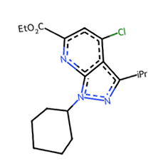 CCOC(=O)c1cc(Cl)c2c(C(C)C)nn(C3CCCCC3)c2n1